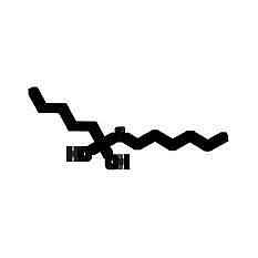 CCCCCCSC(O)(O)CCCCC